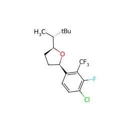 C[C@@H]([C@@H]1CC[C@H](c2ccc(Cl)c(F)c2C(F)(F)F)O1)C(C)(C)C